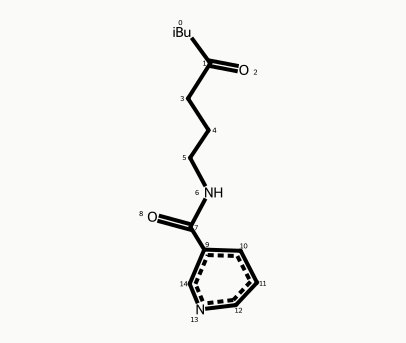 CCC(C)C(=O)CCCNC(=O)c1cccnc1